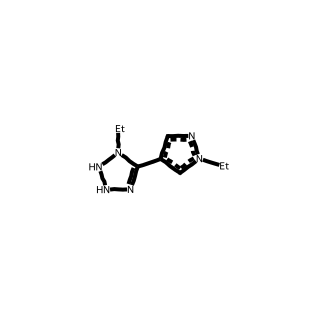 CCN1NNN=C1c1cnn(CC)c1